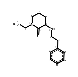 O=C(O)CN1CCCC(NCCc2ccccc2)C1=O